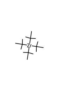 C[C](C)(C)[Zr]([C](C)(C)C)([C](C)(C)C)[C](C)(C)C